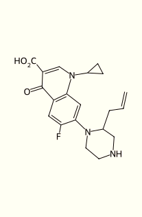 C=CCC1CNCCN1c1cc2c(cc1F)c(=O)c(C(=O)O)cn2C1CC1